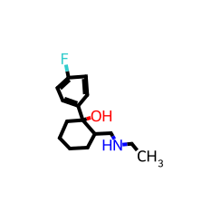 CCNCC1CCCCC1(O)c1ccc(F)cc1